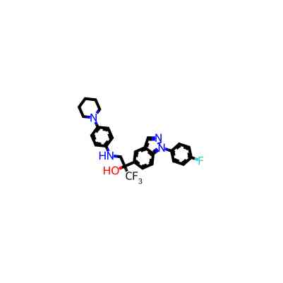 OC(CNc1ccc(N2CCCCC2)cc1)(c1ccc2c(cnn2-c2ccc(F)cc2)c1)C(F)(F)F